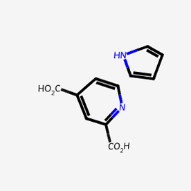 O=C(O)c1ccnc(C(=O)O)c1.c1cc[nH]c1